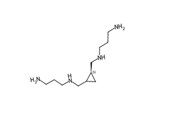 NCCCNCC1C[C@@H]1CNCCCN